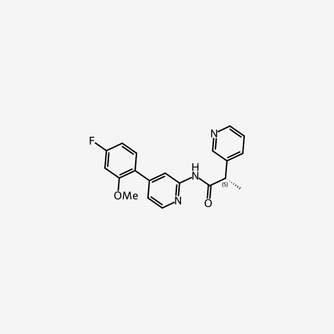 COc1cc(F)ccc1-c1ccnc(NC(=O)[C@@H](C)c2cccnc2)c1